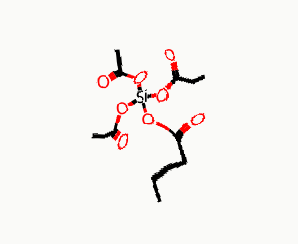 CCCC(=O)O[Si](OC(C)=O)(OC(C)=O)OC(C)=O